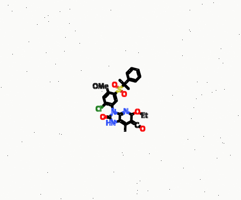 CCOC1N=c2c([nH]c(=O)n2-c2cc(S(=O)(=O)C(C)(C)c3ccccc3)c(OC)cc2Cl)=C(C)C1=C=O